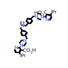 CCN(Cc1ccc(CN2CCN(c3nccc(C(C)C)c3C(=O)O)CC2)cc1)Cc1ccc(CN2CCN(c3nccc(C(C)C)c3C(=O)O)CC2)cc1